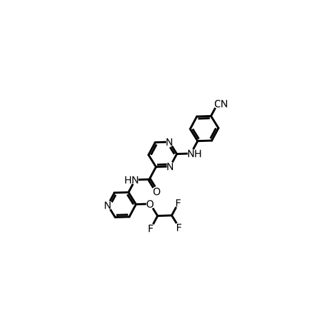 N#Cc1ccc(Nc2nccc(C(=O)Nc3cnccc3OC(F)C(F)F)n2)cc1